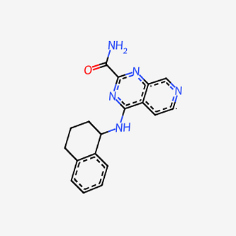 NC(=O)c1nc(NC2CCCc3ccccc32)c2c[c]ncc2n1